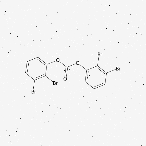 O=C(Oc1cccc(Br)c1Br)Oc1cccc(Br)c1Br